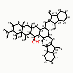 CC(C)C1C(C)CC2(C)CC3(C)CC4C(CC5C(C)C6CCCCC6C5C)CC(CC5C(C)C6CCCCC6C5C)C(C)C4C(O)C3C(C)C2(C)C1C